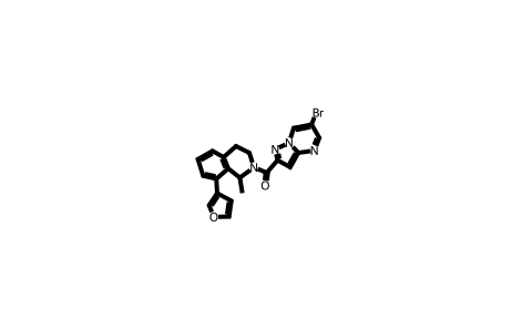 CC1c2c(cccc2-c2ccoc2)CCN1C(=O)c1cc2ncc(Br)cn2n1